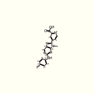 Cn1c(-c2ccnc(C(=O)O)c2)nc2cnc(Nc3ccc(F)cc3)nc21